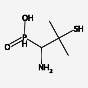 CC(C)(S)C(N)[PH](=O)O